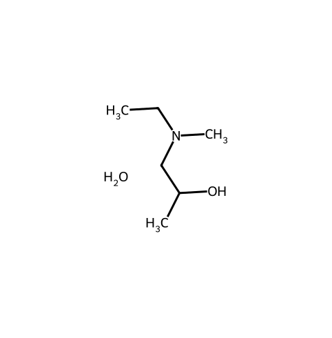 CCN(C)CC(C)O.O